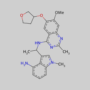 COc1cc2nc(C)nc(NC(C)c3cn(C)c4cccc(N)c34)c2cc1OC1CCOC1